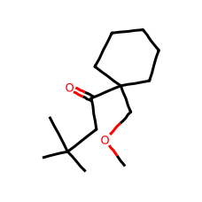 COCC1(C(=O)CC(C)(C)C)CCCCC1